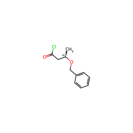 C[C@H](CC(=O)Cl)OCc1ccccc1